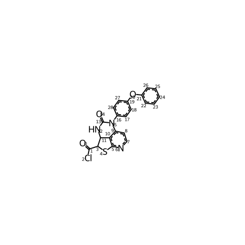 O=C(Cl)C1Sc2nccc3c2C1NC(=O)N3c1ccc(Oc2ccccc2)cc1